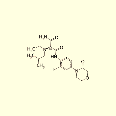 CCN(CC(C)C)[C@@H](C(N)=O)C(=O)Nc1ccc(N2CCOCC2=O)cc1F